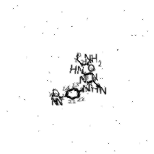 CCC(Nc1cnc(C#N)c(Nc2ccc(-c3nnco3)cc2)n1)C(N)=O